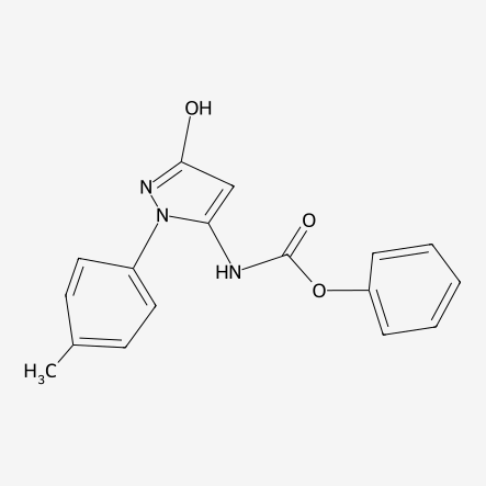 Cc1ccc(-n2nc(O)cc2NC(=O)Oc2ccccc2)cc1